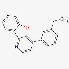 CCc1cccc(-c2ccnc3c2oc2ccccc23)c1